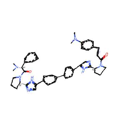 CN(C)c1ccc(/C=C/C(=O)N2CCC[C@H]2c2ncc(-c3ccc(-c4ccc(-c5cnc([C@@H]6CCCN6C(=O)[C@@H](c6ccccc6)N(C)C)[nH]5)cc4)cc3)[nH]2)cc1